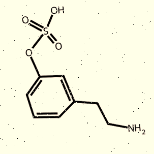 NCCc1cccc(OS(=O)(=O)O)c1